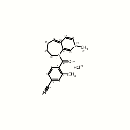 Cc1cc(C#N)ccc1C(=O)N1CCCC=C2C=CN(C)C=C21.Cl